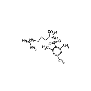 Cc1cc(C)c(S(=O)(=O)NC(CCCNC(=N)N)C(=O)O)c(C)c1